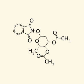 CC(=O)O[C@@H]1[C@H](C)OC(ON2C(=O)c3ccccc3C2=O)C[C@@H]1OC(C)=O